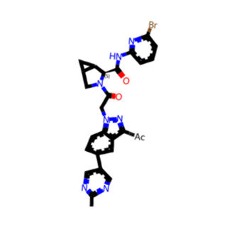 CC(=O)c1nn(CC(=O)N2CC3CC3[C@H]2C(=O)Nc2cccc(Br)n2)c2ccc(-c3cnc(C)nc3)cc12